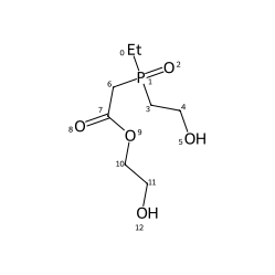 CCP(=O)(CCO)CC(=O)OCCO